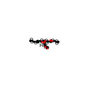 C=CC(=O)OCCCOc1ccc(CCC(=O)Oc2ccc(OC(=O)CCc3ccc(OCCCOC(=O)C=C)cc3)c(/C=N/Nc3nc4ccccc4s3)c2)cc1